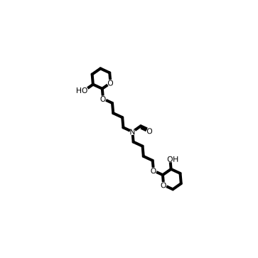 O=CN(CCCCOC1OCCCC1O)CCCCOC1OCCCC1O